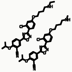 CCNCCCCOc1ccc(-c2noc(-c3ccc(OC(C)C)c(C#N)c3)n2)c(Cl)c1.CNCCCCOc1ccc(-c2noc(-c3ccc(OC(C)C)c(C#N)c3)n2)c(Cl)c1